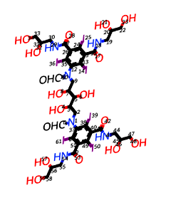 O=CN(CC(O)C(O)C(O)CN(C=O)c1c(I)c(C(=O)NCC(O)CO)c(I)c(C(=O)NCC(O)CO)c1I)c1c(I)c(C(=O)NCC(O)CO)c(I)c(C(=O)NCC(O)CO)c1I